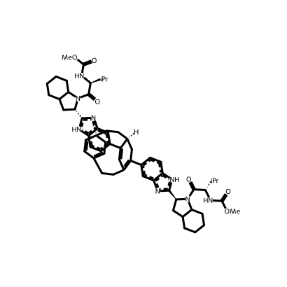 COC(=O)N[C@H](C(=O)N1C2CCCCC2C[C@H]1c1nc2cc(C3=CC4=C(c5ccc6[nH]c([C@@H]7CC8CCCCC8N7C(=O)[C@@H](NC(=O)OC)C(C)C)nc6c5)C[C@@H]3CC[C@@H]3C=CC(=CC3)CC4)ccc2[nH]1)C(C)C